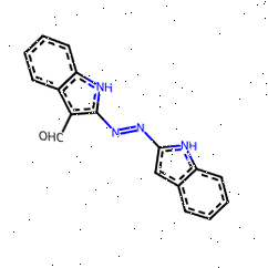 O=Cc1c(N=Nc2cc3ccccc3[nH]2)[nH]c2ccccc12